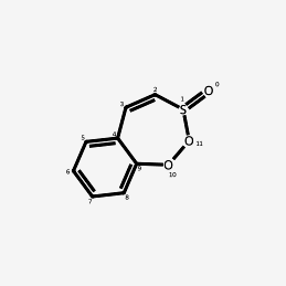 O=S1C=Cc2ccccc2OO1